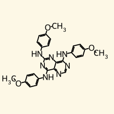 COc1ccc(Nc2nc(Nc3ccc(OC)cc3)c3ncnc(Nc4ccc(OC)cc4)c3n2)cc1